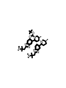 C[C@H]1CC=C(c2ccc3sc(CC(C)(C)N(C)C)nc3c2)N(C(=O)OC(C)(C)C)C1.C[C@H]1CCC(c2ccc3sc(CC(C)(C)N(C)C)nc3c2)=NC1